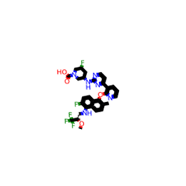 CO[C@@H](CNc1c(F)ccc2c(Oc3ncccc3-c3ccnc(NC4CC(F)CN(C(=O)O)C4)n3)c(C)ccc12)C(F)(F)F